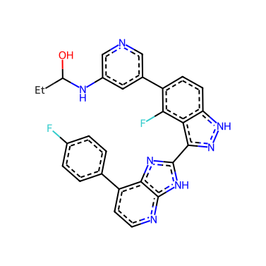 CCC(O)Nc1cncc(-c2ccc3[nH]nc(-c4nc5c(-c6ccc(F)cc6)ccnc5[nH]4)c3c2F)c1